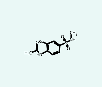 CNS(=O)(=O)c1ccc(NC(C)=O)c(Br)c1